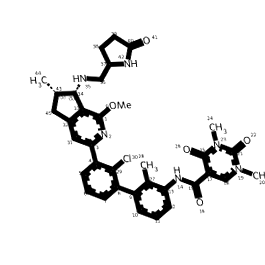 COc1nc(-c2cccc(-c3cccc(NC(=O)c4cn(C)c(=O)n(C)c4=O)c3C)c2Cl)cc2c1[C@@H](NCC1CCC(=O)N1)[C@@H](C)C2